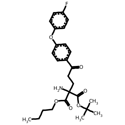 CCCCOC(=O)C(N)(CCC(=O)c1ccc(Oc2ccc(F)cc2)cc1)C(=O)OC(C)(C)C